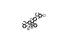 CCN(c1ccc2c(-c3ccccc3S(=O)(=O)CC#N)c3cc/c(=[N+](/CC)c4c(C)cc(Cl)cc4C)cc-3oc2c1)c1c(C)cccc1C